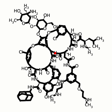 CNCCOCc1cc(OCCNC)cc(C(=O)NC(=O)C[C@@H]2NC(=O)[C@H](NC(=O)[C@@H](CC(C)C)NC)[C@H](O)c3ccc(c(Cl)c3)Oc3cc4cc(c3O[C@@H]3O[C@H](CO)[C@@H](O)[C@H](O)[C@H]3O[C@H]3C[C@](C)(N)[C@H](O)[C@H](C)O3)Oc3ccc(cc3Cl)[C@@H](O)[C@@H]3NC(=O)[C@H](NC(=O)[C@@H]4NC2=O)c2ccc(O)c(c2)-c2c(O)cc(O)cc2[C@@H](C(=O)NC2C4CC5CC(C4)CC2C5)NC3=O)c1